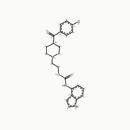 O=C(Nc1cccc2[nH]ncc12)OCCN1CCC(C(=O)c2ccc(Cl)cc2)CC1